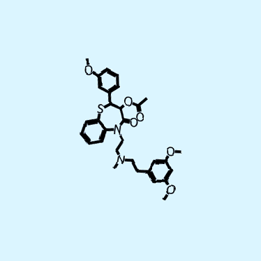 COc1cc(CCN(C)CCN2C(=O)C(OC(C)=O)C(c3cccc(OC)c3)Sc3ccccc32)cc(OC)c1